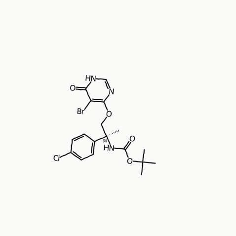 CC(C)(C)OC(=O)N[C@](C)(COc1nc[nH]c(=O)c1Br)c1ccc(Cl)cc1